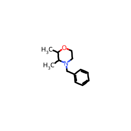 CC1OCCN(Cc2ccccc2)C1C